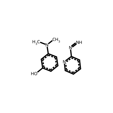 CN(C)c1cccc(O)c1.N=Nc1ccccn1